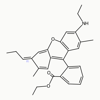 CC/C=c1\cc2c(cc1C)=C(c1ccccc1C(=O)OCC)c1cc(C)c(NCC)cc1O2